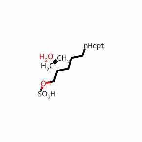 C=C.CCCCCCCCCCCCOS(=O)(=O)O.O